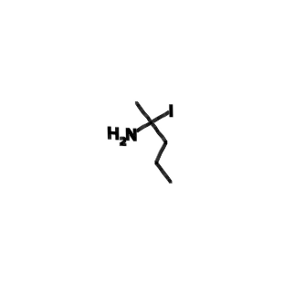 CCCC(C)(N)I